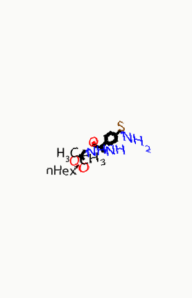 CCCCCCC(=O)OC(C)(C)CNC(=O)c1c[nH]c2cc(C(N)=S)ccc12